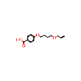 C=CCOCCCCOc1ccc(C(=O)O)cc1